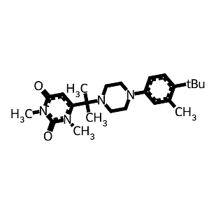 Cc1cc(N2CCN(C(C)(C)c3cc(=O)n(C)c(=O)n3C)CC2)ccc1C(C)(C)C